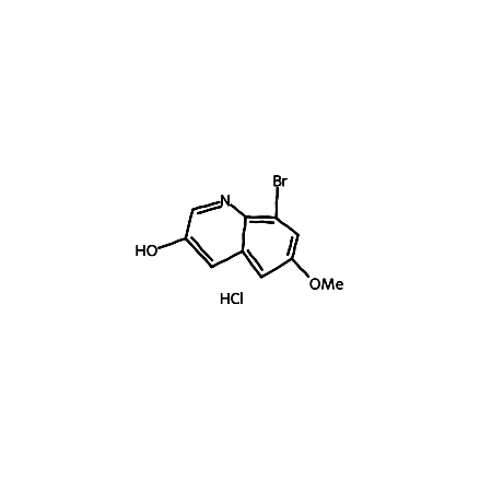 COc1cc(Br)c2ncc(O)cc2c1.Cl